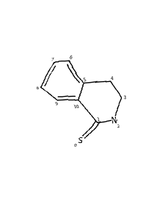 S=C1[N]CCc2ccccc21